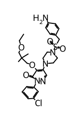 CCOCC(C)(C)COc1c(N2CCN(S(=O)(=O)Cc3ccc(N)cc3)CC2)cnn(-c2cccc(Cl)c2)c1=O